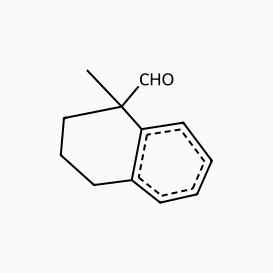 CC1(C=O)CCCc2ccccc21